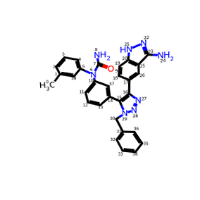 Cc1cccc(N(C(N)=O)c2cccc(-c3c(-c4ccc5[nH]nc(N)c5c4)nnn3Cc3ccccc3)c2)c1